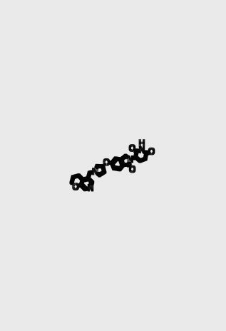 O=C1CCC(N2Cc3cc(OC4CCN(Cc5cncc6c5CCCO6)C4)ccc3C2=O)C(=O)N1